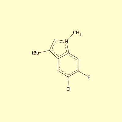 Cn1cc(C(C)(C)C)c2cc(Cl)c(F)cc21